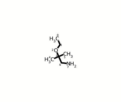 CCOC(C)(C)CN